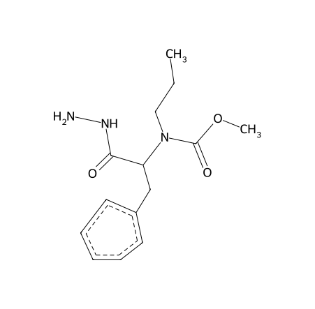 CCCN(C(=O)OC)C(Cc1ccccc1)C(=O)NN